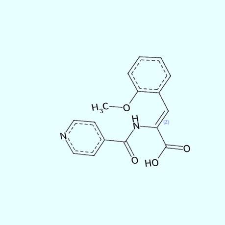 COc1ccccc1/C=C(\NC(=O)c1ccncc1)C(=O)O